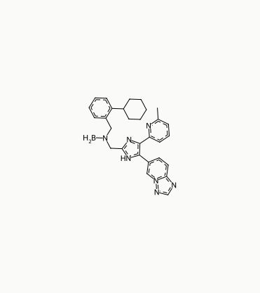 BN(Cc1nc(-c2cccc(C)n2)c(-c2ccc3ncnn3c2)[nH]1)Cc1ccccc1C1CCCCC1